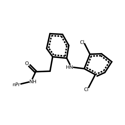 CCCNC(=O)Cc1ccccc1Nc1c(Cl)cccc1Cl